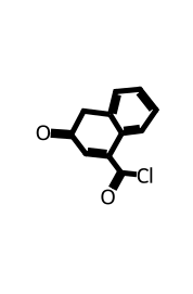 O=C1C=C(C(=O)Cl)c2ccccc2C1